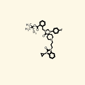 CC(C)(C)OC(=O)c1ccccc1CN1CN(c2ccc(F)cc2)C2(CCN(CCCn3c(=O)n(C4CC4)c4ccccc43)CC2)C1=O